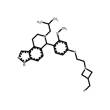 COc1cc(OCCN2CC(CF)C2)ccc1C1c2ccc3[nH]ncc3c2CCN1CC(C)C